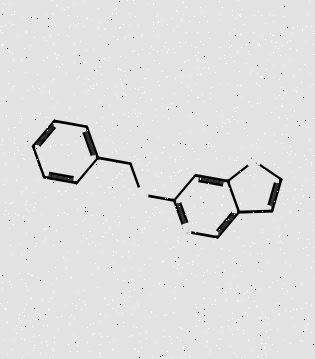 c1ccc(COc2cc3[nH]ccc3cn2)cc1